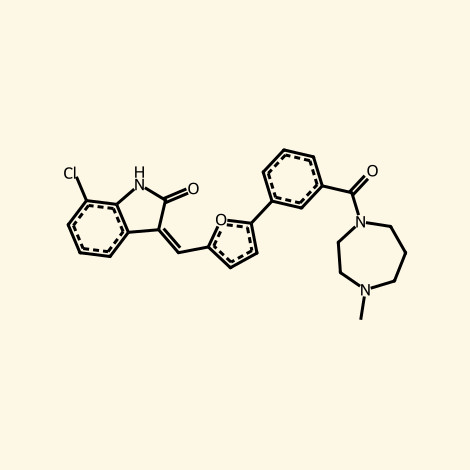 CN1CCCN(C(=O)c2cccc(-c3ccc(C=C4C(=O)Nc5c(Cl)cccc54)o3)c2)CC1